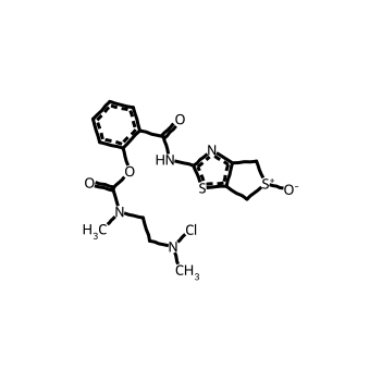 CN(Cl)CCN(C)C(=O)Oc1ccccc1C(=O)Nc1nc2c(s1)C[S+]([O-])C2